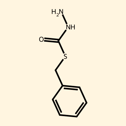 NNC(=O)SCc1ccccc1